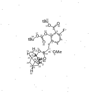 CO[C@@H](Cc1ccc(F)c(C(=O)OC(C)(C)C)c1OC(=O)OC(C)(C)C)B1OC2C[C@@H]3C[C@@H](C3(C)C)[C@]2(C)O1